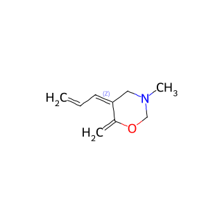 C=C/C=C1/CN(C)COC1=C